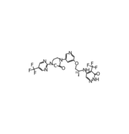 C[C@@H](COc1cncc(N2CCN(c3ncc(C(F)(F)F)cn3)CC2=O)c1)Nc1cn[nH]c(=O)c1C(F)(F)F